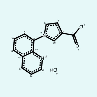 Cl.O=C(Cl)c1ccn(-c2cccc3cccnc23)c1